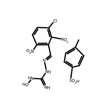 Cc1ccc(S(=O)(=O)O)cc1.N=C(NO)NN=Cc1c([N+](=O)[O-])ccc(Cl)c1[N+](=O)[O-]